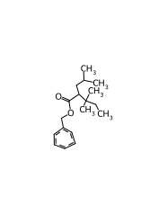 CCC(C)(C)C(CC(C)C)C(=O)OCc1ccccc1